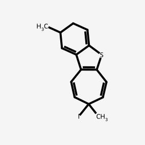 CC1C=c2c3c(sc2=CC1)C=CC(C)(I)C=C3